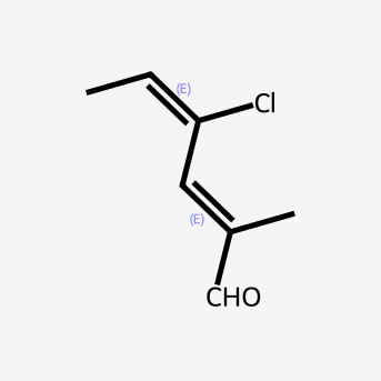 C/C=C(Cl)\C=C(/C)C=O